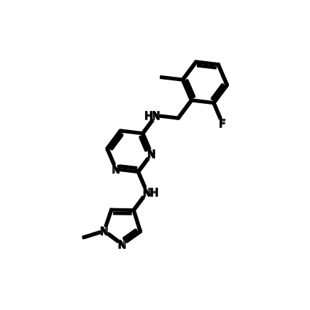 Cc1cccc(F)c1CNc1ccnc(Nc2cnn(C)c2)n1